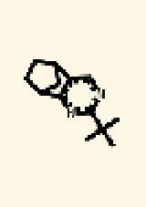 CC(C)(C)c1ncc2c(n1)C1CCC2C1